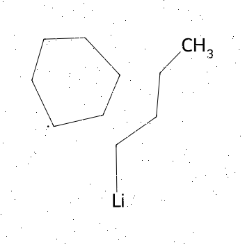 [CH]1CCCCC1.[Li][CH2]CCC